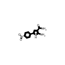 NC(=O)c1cc(-c2ccc([N+](=O)[O-])cc2)[nH]c1N